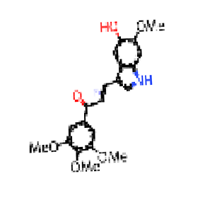 COc1cc2[nH]cc(/C=C/C(=O)c3cc(OC)c(OC)c(OC)c3)c2cc1O